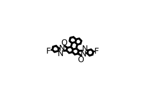 O=c1c2c(cc3cc4c(=O)n5c6ccc(F)cc6nc5c4c4c5cccc6cccc(c65)c2c34)c2nc3cc(F)ccc3n12